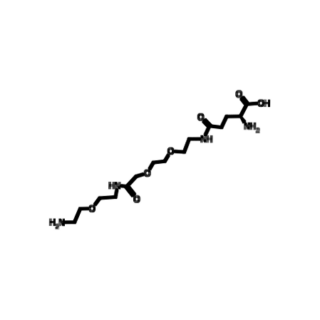 NCCOCCNC(=O)COCCOCCNC(=O)CC[C@H](N)C(=O)O